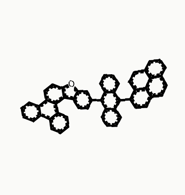 c1cc2ccc3ccc(-c4c5ccccc5c(-c5ccc6c(c5)oc5ccc7c8ccccc8c8ccccc8c7c56)c5ccccc45)c4ccc(c1)c2c34